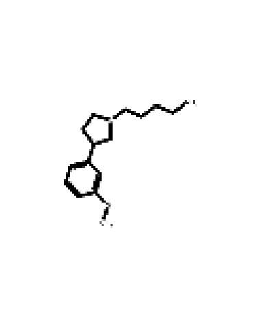 COc1cccc(C2CCN(CCCCN)C2)c1